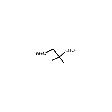 COCC(C)(C)[C]=O